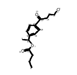 CCCC(=O)OC(C)c1ccc(C(=O)CCCCl)cc1